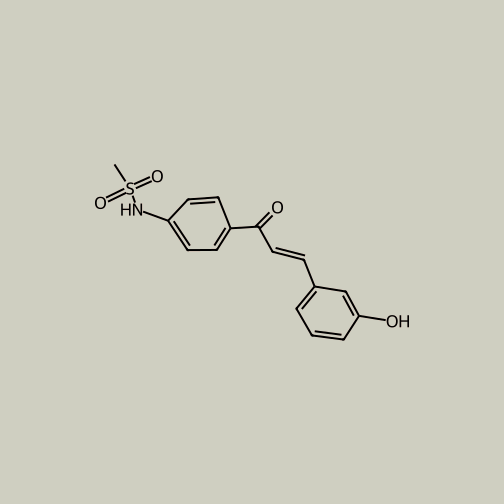 CS(=O)(=O)Nc1ccc(C(=O)C=Cc2cccc(O)c2)cc1